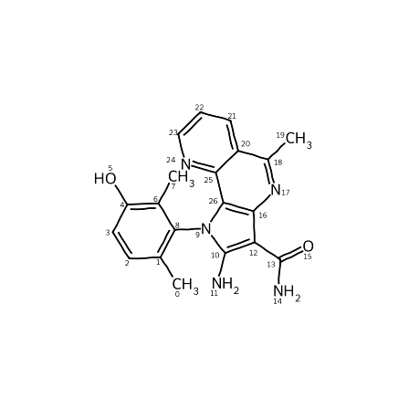 Cc1ccc(O)c(C)c1-n1c(N)c(C(N)=O)c2nc(C)c3cccnc3c21